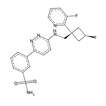 NS(=O)(=O)c1cccc(-c2ccc(NC[C@]3(c4ncccc4F)C[C@H](F)C3)nn2)c1